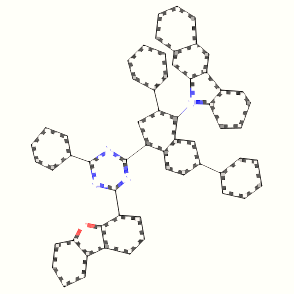 c1ccc(-c2ccc3c(-c4nc(-c5ccccc5)nc(-c5cccc6c5oc5ccccc56)n4)cc(-c4ccccc4)c(-n4c5ccccc5c5cc6ccccc6cc54)c3c2)cc1